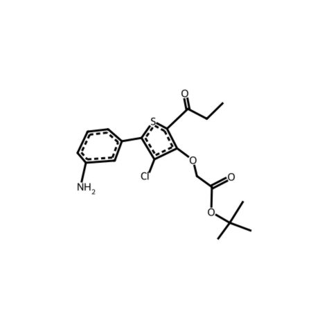 CCC(=O)c1sc(-c2cccc(N)c2)c(Cl)c1OCC(=O)OC(C)(C)C